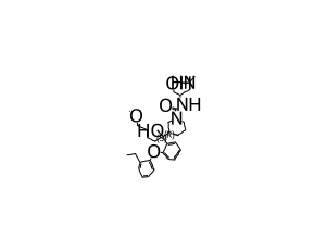 CCc1ccccc1Oc1ccccc1[C@](O)(CCCCOC)[C@@H]1CCCN(C(=O)NC(CO)CNC)C1